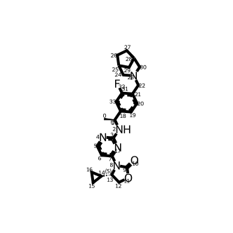 C[C@H](Nc1nccc(N2C(=O)OC[C@@H]2C2CC2)n1)c1ccc(CN2CC3CCC(C3)C2)c(F)c1